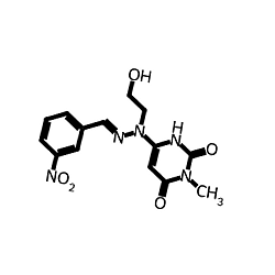 Cn1c(=O)cc(N(CCO)N=Cc2cccc([N+](=O)[O-])c2)[nH]c1=O